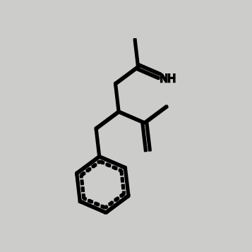 C=C(C)C(CC(C)=N)Cc1ccccc1